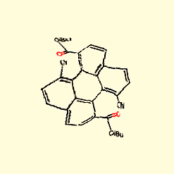 CC(C)COC(=O)c1ccc2ccc(C#N)c3c4c(C(=O)OCC(C)C)ccc5ccc(C#N)c(c1c23)c54